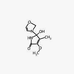 COC1=C(C)C(O)(N2C=COC2)NC1=O